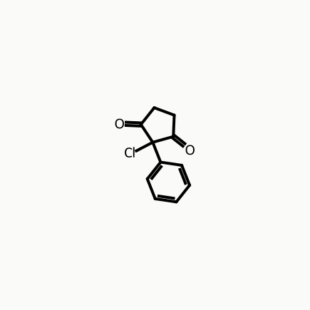 O=C1CCC(=O)C1(Cl)c1ccccc1